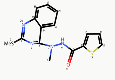 CSc1nc(N(C)NC(=O)c2cccs2)c2ccccc2n1